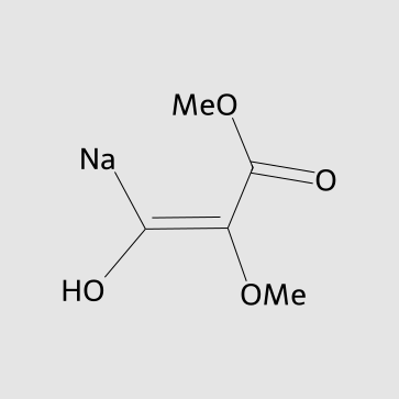 COC(=O)C(OC)=[C](O)[Na]